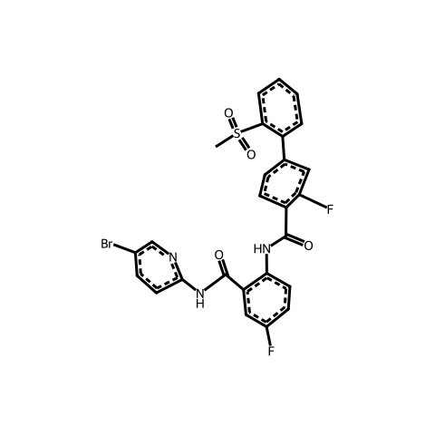 CS(=O)(=O)c1ccccc1-c1ccc(C(=O)Nc2ccc(F)cc2C(=O)Nc2ccc(Br)cn2)c(F)c1